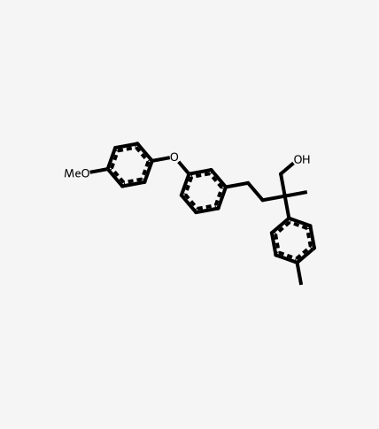 COc1ccc(Oc2cccc(CCC(C)(CO)c3ccc(C)cc3)c2)cc1